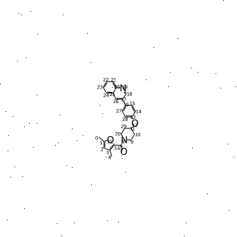 Cc1cc(C)c(C(=O)N2CCC(Oc3ccc(-c4cnc5ccccc5c4)cc3)CC2)o1